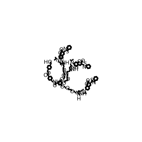 CC(C)N(CC1=CN(CCOCCOCCOc2cc(C(=O)NCc3ccc(C(=O)OCc4ccc(CO)cc4)cc3)cc(OCCOCCOCCN3C=C(CN(c4ccc5cc(-c6nc7ccccc7s6)c(=O)oc5c4)C(C)C)NN3)c2OCCOCCOCCN2C=C(CN(c3ccc4cc(-c5nc6ccccc6s5)c(=O)oc4c3)C(C)C)NN2)NN1)c1ccc2cc(-c3nc4ccccc4s3)c(=O)oc2c1